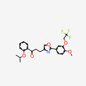 COc1ccc(-c2nc(CCC(=O)c3ccccc3OC(C)C)co2)cc1OCC(F)(F)F